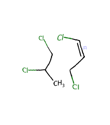 CC(Cl)CCl.Cl/C=C\CCl